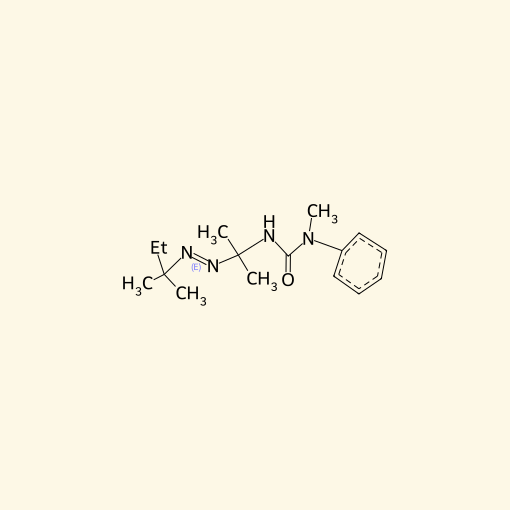 CCC(C)(C)/N=N/C(C)(C)NC(=O)N(C)c1ccccc1